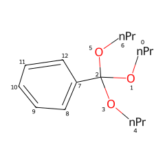 CCCOC(OCCC)(OCCC)c1ccccc1